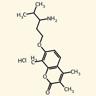 Cc1c(C)c2ccc(OCCC(N)C(C)C)c(C)c2oc1=O.Cl